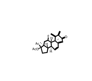 C=C1C(=C)[C@@]2(C)C(=CC1=O)C=C[C@@H]1[C@@H]2C(F)C[C@@]2(C)[C@H]1CC[C@]2(OC(C)=O)C(C)=O